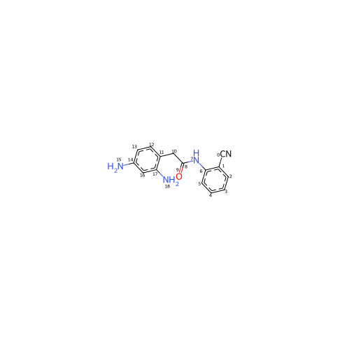 N#Cc1ccccc1NC(=O)Cc1ccc(N)cc1N